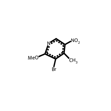 COc1ncc([N+](=O)[O-])c(C)c1Br